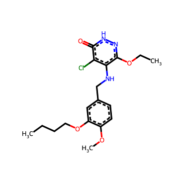 CCCCOc1cc(CNc2c(OCC)n[nH]c(=O)c2Cl)ccc1OC